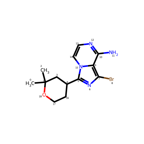 CC1(C)CC(c2nc(Br)c3c(N)nccn23)CCO1